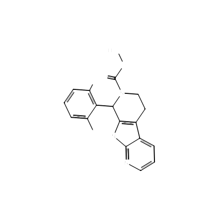 COC(=O)N1CCc2c([nH]c3ncccc23)C1c1c(F)cccc1F